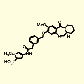 COc1cc2c(cc1OCc1cccc(CC(=O)Nc3cc(C(=O)O)n(C)c3)c1)N=C[C@@H]1CCCCN1C2=O